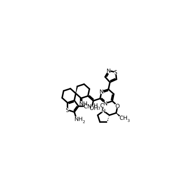 C[C@H](Oc1cc(-c2cnsc2)nc(/C(O)=C2\CCC[C@@]3(CCCc4sc(N)c(C#N)c43)C2=N)n1)[C@@H]1CCCN1C